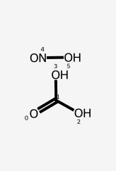 O=C(O)O.O=NO